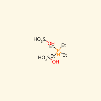 CC[PH](CC)(CC)CC.O=S(=O)(O)O.O=S(=O)(O)O